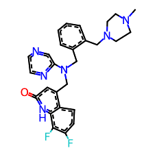 CN1CCN(Cc2ccccc2CN(Cc2cc(=O)[nH]c3c(F)c(F)ccc23)c2cnccn2)CC1